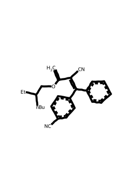 C=C(OCC(CC)CCCC)/C(C#N)=C(/c1ccccc1)c1ccc(C#N)cc1